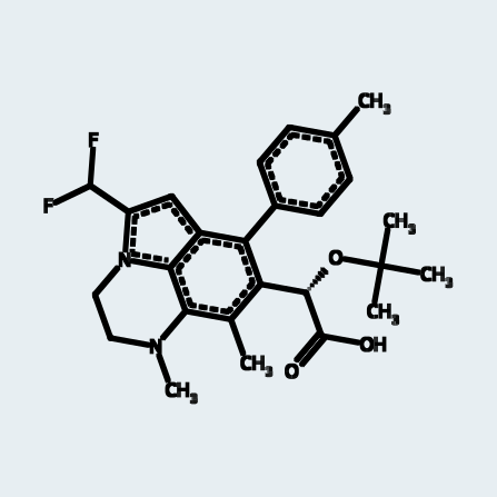 Cc1ccc(-c2c([C@H](OC(C)(C)C)C(=O)O)c(C)c3c4c2cc(C(F)F)n4CCN3C)cc1